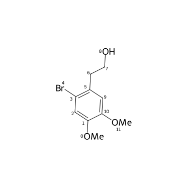 COc1cc(Br)c(CCO)cc1OC